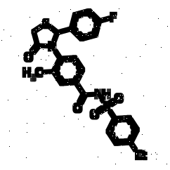 CCc1ccc(S(=O)(=O)NC(=O)c2ccc(N3C(=O)CSC3c3ccc(F)cc3)c(C)c2)cc1